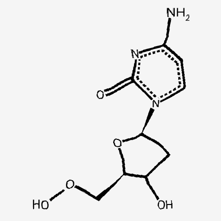 Nc1ccn([C@H]2CC(O)[C@@H](COO)O2)c(=O)n1